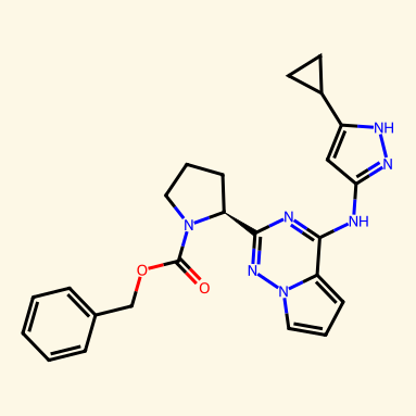 O=C(OCc1ccccc1)N1CCC[C@H]1c1nc(Nc2cc(C3CC3)[nH]n2)c2cccn2n1